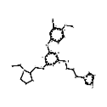 CCN1CCCC1CNc1nc(NCCCn2ccnc2)nc(Nc2ccc(OC)c(F)c2)n1